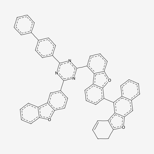 C1=Cc2c(oc3cc4ccccc4c(-c4cccc5c4oc4cccc(-c6nc(-c7ccc(-c8ccccc8)cc7)nc(-c7ccc8oc9ccccc9c8c7)n6)c45)c23)CC1